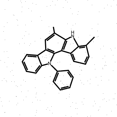 Cc1cccc2c1[nH]c1c(C)cc3c4ccccc4n(-c4ccccc4)c3c12